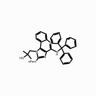 CCCCCc1nc2c(NC(c3ccccc3)(c3ccccc3)c3ccccc3)nc3ccccc3c2n1CC(C)(C)O